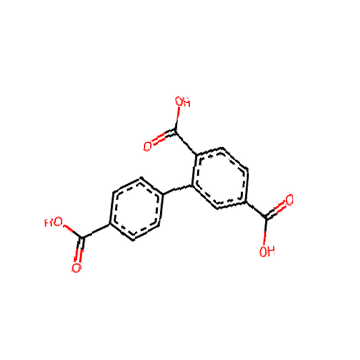 O=C(O)c1ccc(-c2cc(C(=O)O)ccc2C(=O)O)cc1